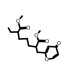 CCC(CCCC(Cc1cc(=O)cco1)C(=O)OC)C(=O)OC